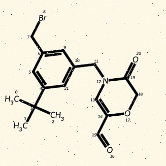 CC(C)(C)c1cc(CBr)cc(CN2C=C(C=O)OCC2=O)c1